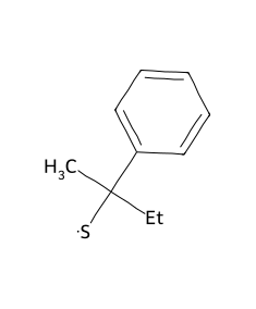 CCC(C)([S])c1ccccc1